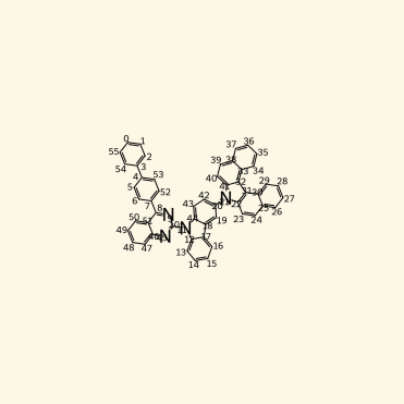 c1ccc(-c2ccc(-c3nc(-n4c5ccccc5c5cc(-n6c7ccc8ccccc8c7c7c8ccccc8ccc76)ccc54)nc4ccccc34)cc2)cc1